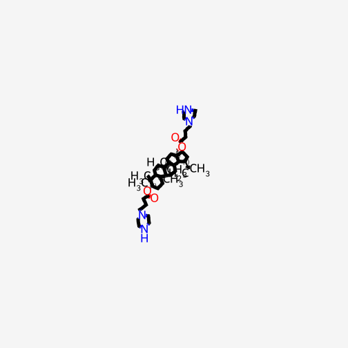 C=C(C)[C@@H]1CC[C@]2(COC(=O)CCCN3CCNCC3)CC[C@]3(C)C(CCC4[C@@]5(C)CC[C@H](OC(=O)CCCN6CCNCC6)C(C)(C)C5CC[C@]43C)C12